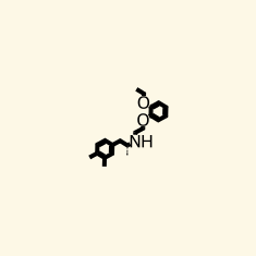 CCOc1ccccc1OCCN[C@H](C)Cc1ccc(C)c(C)c1